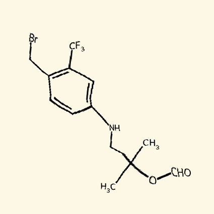 CC(C)(CNc1ccc(CBr)c(C(F)(F)F)c1)OC=O